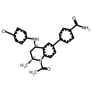 CC(=O)N1c2ccc(-c3ccc(C(N)=O)cc3)cc2[C@H](Nc2ccc(Cl)cc2)C[C@@H]1C